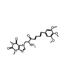 COc1cc(C=CC=CC(=O)C(N)Cn2cnc3c2c(=O)n(C)c(=O)n3C)cc(OC)c1OC